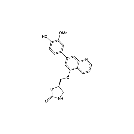 COc1cc(-c2cc(OC[C@H]3CNC(=O)O3)c3cccnc3c2)ccc1O